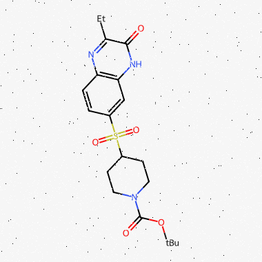 CCc1nc2ccc(S(=O)(=O)C3CCN(C(=O)OC(C)(C)C)CC3)cc2[nH]c1=O